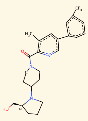 Cc1cc(-c2cccc(C(F)(F)F)c2)cnc1C(=O)N1CCC(N2CCC[C@H]2CO)CC1